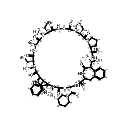 CC[C@H](C)[C@@H]1NC(=O)[C@H](CC(C)C)N(C)C(=O)[C@H]2NC(=O)[C@](C)(C2c2ccccc2)N(C)C(=O)C[C@@H](C(=O)N2CCCCC2)NC(=O)[C@@H]2Cc3ccccc3[C@@]([C@@H](C)O)(NC(=O)[C@@H]3CCCN3C(=O)[C@H](CC(C)C)N(C)C(=O)CNC(=O)[C@H](CC(C)C)N(C)C1=O)C(=O)N2